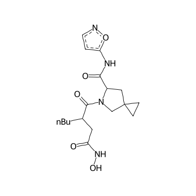 CCCCC(CC(=O)NO)C(=O)N1CC2(CC2)CC1C(=O)Nc1ccno1